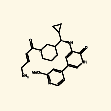 COc1cc(-c2c[nH]c(=O)c(N[C@H](C3CC3)C3CCCN(C(=O)/C=C/CN)C3)c2)ccn1